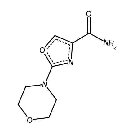 NC(=O)c1coc(N2CCOCC2)n1